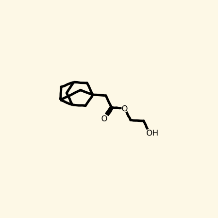 O=C(CC12CC3CC(C1)C(C3)C2)OCCO